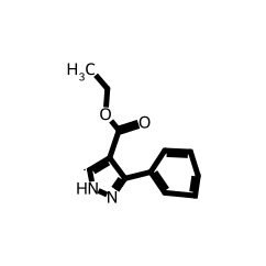 CCOC(=O)c1[c][nH]nc1-c1ccccc1